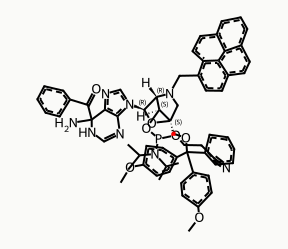 COc1ccc(C(OC[C@]23CN(Cc4ccc5ccc6cccc7ccc4c5c67)[C@@H]([C@H](n4cnc5c4N=CNC5(N)C(=O)c4ccccc4)O2)[C@@H]3OP(OCCC#N)N(C(C)C)C(C)C)(c2ccccc2)c2ccc(OC)cc2)cc1